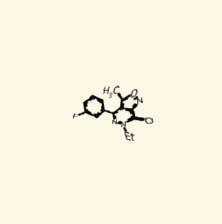 CCn1nc(-c2cccc(F)c2)c2c(C)onc2c1=O